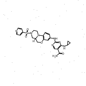 NC(=O)c1cnc(Nc2ccc3c(c2)OC[C@@H]2CN(S(=O)(=O)c4ccncc4)CCN32)nc1NC1CC1